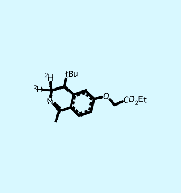 [2H]C1([2H])N=C(C)c2ccc(OCC(=O)OCC)cc2C1C(C)(C)C